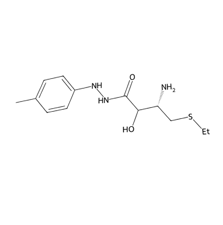 CCSC[C@@H](N)C(O)C(=O)NNc1ccc(C)cc1